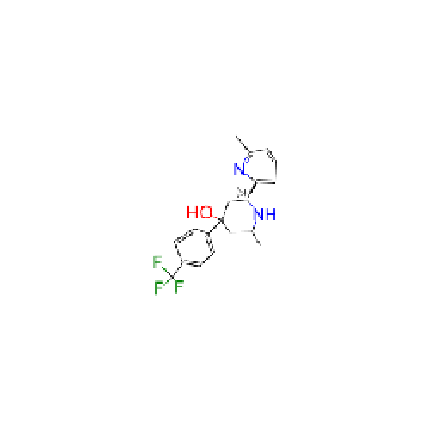 Cc1cccc([C@@H]2CC(O)(c3ccc(C(F)(F)F)cc3)CC(C)N2)n1